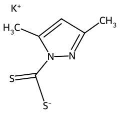 Cc1cc(C)n(C(=S)[S-])n1.[K+]